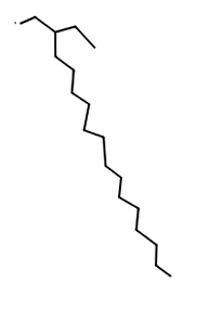 [CH2]CC(CC)CCCCCCCCCCCCCC